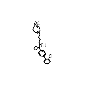 CC(=O)N1CCCN(CCCCNC(=O)c2ccc(-c3ccccc3Cl)cc2)CC1